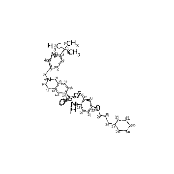 CC(C)(C)c1ccc(CN2CCc3cc(S(=O)(=O)Nc4ccc(OCCCC5CCCCC5)cc4F)ccc3C2)cn1